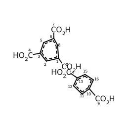 O=C(O)c1cc(C(=O)O)cc(C(=O)O)c1.O=C(O)c1ccc(C(=O)O)cc1